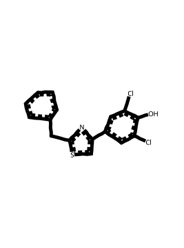 Oc1c(Cl)cc(-c2csc(Cc3ccccc3)n2)cc1Cl